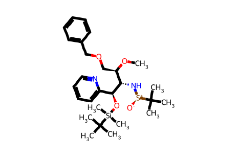 CO[C@H](COCc1ccccc1)[C@H](N[S@+]([O-])C(C)(C)C)[C@@H](O[Si](C)(C)C(C)(C)C)c1ccccn1